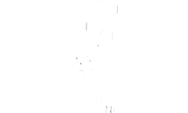 O=[N+]([O-])OCC(COC(F)(F)C(F)F)O[N+](=O)[O-]